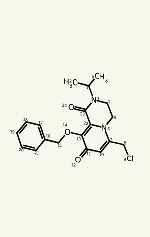 CC(C)N1CCn2c(CCl)cc(=O)c(OCc3ccccc3)c2C1=O